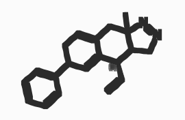 C=C[C@H]1C2=CC(c3ccccc3)CC=C2CC2(C)N=NCC12